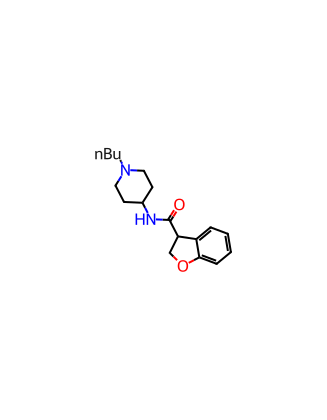 CCCCN1CCC(NC(=O)C2COc3ccccc32)CC1